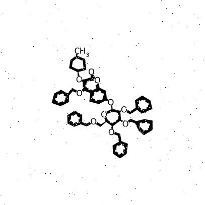 C[C@H]1CC[C@@H](Oc2c(OCc3ccccc3)c3ccc(O[C@@H]4O[C@H](COCc5ccccc5)[C@H](OCc5ccccc5)[C@H](OCc5ccccc5)[C@H]4OCc4ccccc4)cc3oc2=O)CC1